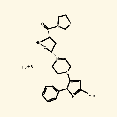 Br.Br.Cc1cc(N2CCN([C@@H]3CN[C@H](C(=O)N4CCSC4)C3)CC2)n(-c2ccccc2)n1